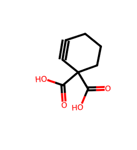 O=C(O)C1(C(=O)O)C#CCCC1